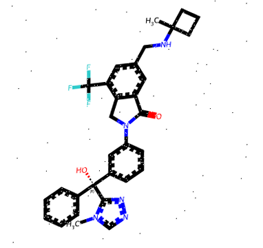 Cn1cnnc1[C@@](O)(c1ccccc1)c1cccc(N2Cc3c(cc(CNC4(C)CCC4)cc3C(F)(F)F)C2=O)c1